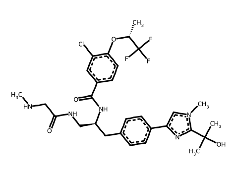 CNCC(=O)NC[C@H](Cc1ccc(-c2cn(C)c(C(C)(C)O)n2)cc1)NC(=O)c1ccc(O[C@H](C)C(F)(F)F)c(Cl)c1